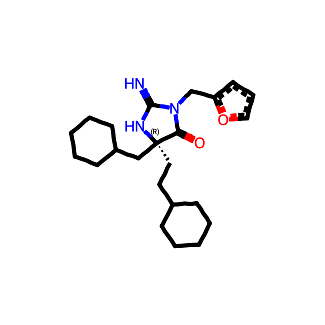 N=C1N[C@](CCC2CCCCC2)(CC2CCCCC2)C(=O)N1Cc1ccco1